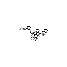 COc1cccc(CCN(CCC(=O)O)C(=O)c2ccccc2-c2ccccc2C(=O)N(Cc2ccccc2)C(C)C)c1